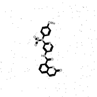 COc1ccc(N(c2cc(NC(=O)c3cccc4ccc(=O)oc34)ccn2)[SH](=O)=O)cc1